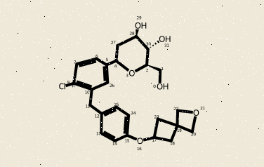 OC[C@H]1OC(c2ccc(Cl)c(Cc3ccc(OC4CC5(COC5)C4)cc3)c2)C[C@@H](O)[C@@H]1O